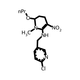 CCCOC1CCC([N+](=O)[O-])=C(NCc2ccc(Cl)nc2)N1C